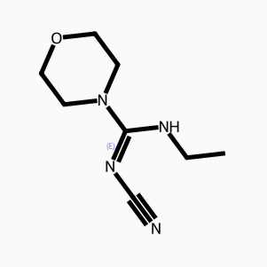 CCN/C(=N\C#N)N1CCOCC1